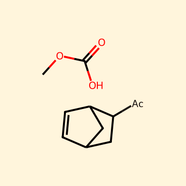 CC(=O)C1CC2C=CC1C2.COC(=O)O